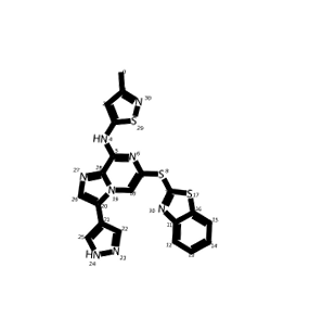 Cc1cc(Nc2nc(Sc3nc4ccccc4s3)cn3c(-c4cn[nH]c4)cnc23)sn1